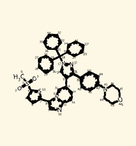 CS(=O)(=O)c1ccc(-c2cnc3ccc(-c4cn(C(c5ccccc5)(c5ccccc5)c5ccccc5)nc4-c4ccc(N5CCOCC5)cc4)cn23)s1